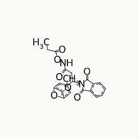 CCC(=O)ONC(=O)CC(c1cc2c(OC)c(c1)O2)N1C(=O)c2ccccc2C1=O